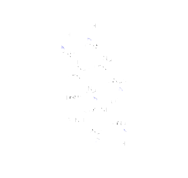 CC(=O)NC(CCCN([O-])C(=O)/C=C(\C)CCO)C(=O)OCC/C(C)=C/C(=O)N([O-])CCCC1NC(=O)C(CCCN([O-])C(=O)/C=C(\C)CCO)NC1=O.CC(=O)NC(CCCN([O-])C(=O)/C=C(\C)CCO)C(=O)OCC/C(C)=C/C(=O)N([O-])CCCC1NC(=O)C(CCCN([O-])C(=O)/C=C(\C)CCO)NC1=O.[Fe+3].[Fe+3]